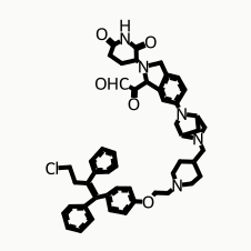 O=CC(=O)C1c2cc(N3CC4CC3CN4CC3CCN(CCOc4ccc(C(=C(CCCl)c5ccccc5)c5ccccc5)cc4)CC3)ccc2CN1C1CCC(=O)NC1=O